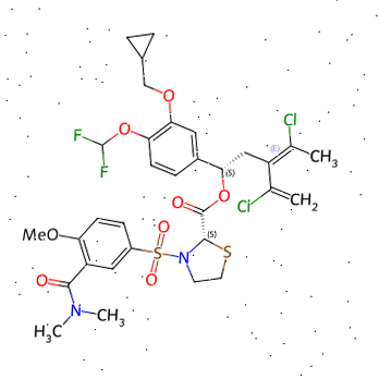 C=C(Cl)/C(C[C@H](OC(=O)[C@@H]1SCCN1S(=O)(=O)c1ccc(OC)c(C(=O)N(C)C)c1)c1ccc(OC(F)F)c(OCC2CC2)c1)=C(\C)Cl